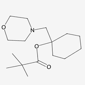 CC(C)(C)C(=O)OC1(CN2CCOCC2)CCCCC1